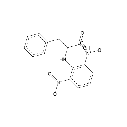 O=C(O)C(Cc1ccccc1)Nc1c([N+](=O)[O-])cccc1[N+](=O)[O-]